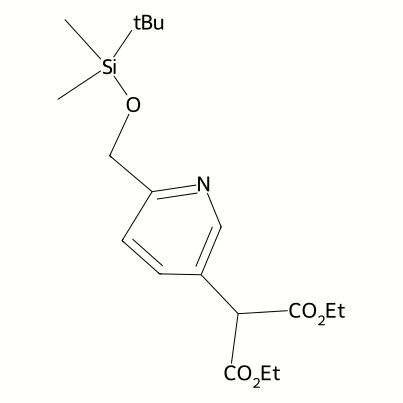 CCOC(=O)C(C(=O)OCC)c1ccc(CO[Si](C)(C)C(C)(C)C)nc1